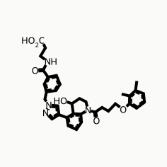 Cc1cccc(OCCCC(=O)N2CCC(O)c3c(-c4cnn(Cc5cccc(C(=O)NCCC(=O)O)c5)c4)cccc32)c1C